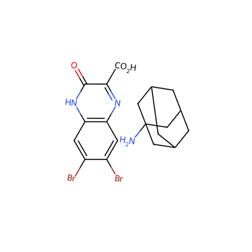 NC12CC3CC(CC(C3)C1)C2.O=C(O)c1nc2cc(Br)c(Br)cc2[nH]c1=O